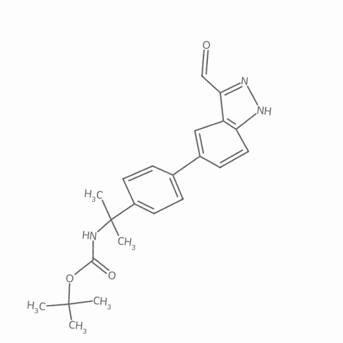 CC(C)(C)OC(=O)NC(C)(C)c1ccc(-c2ccc3[nH]nc(C=O)c3c2)cc1